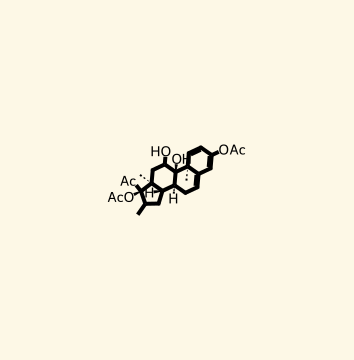 CC(=O)OC1=CC2=CC[C@H]3[C@@H]4CC(C)[C@](OC(C)=O)(C(C)=O)[C@@]4(C)CC(O)[C@]3(O)[C@@]2(C)C=C1